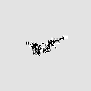 CC(C)(COP(=O)(O)OP(=O)(O)OC[C@H]1O[C@@H](n2cnc3c(N)ncnc32)[C@H](O)[C@@H]1OP(=O)(O)O)[C@@H](O)C(=O)NCCC(=O)NCCSS